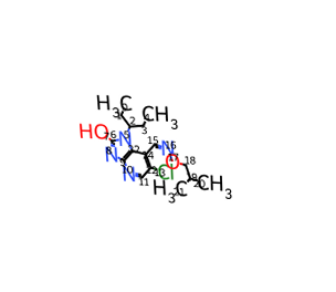 CCC(CC)n1c(O)nc2ncc(Cl)c(/C=N\OCC(C)C)c21